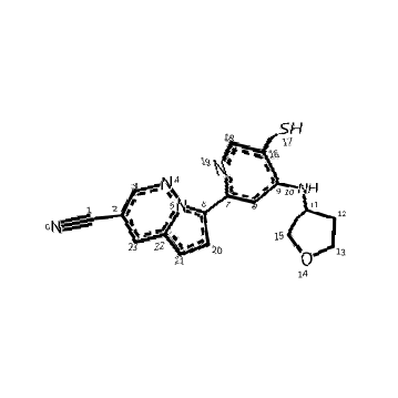 N#Cc1cnn2c(-c3cc(NC4CCOC4)c(S)cn3)ccc2c1